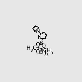 CC1(C)OB(c2cccc(-n3cccc3)n2)OC1(C)C